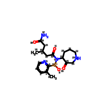 Cc1cccnc1[S+]([O-])N(C(=O)C[C@@H](C)CC(N)=O)C1CCCNCC1=O